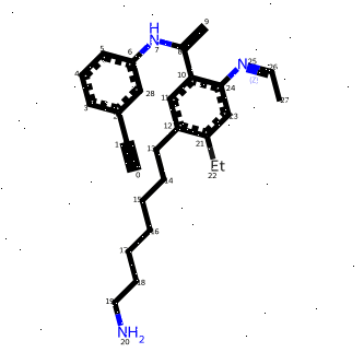 C#Cc1cccc(NC(=C)c2cc(CCCCCCCN)c(CC)cc2/N=C\C)c1